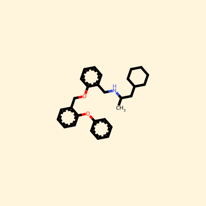 CC(CC1CCCCC1)NCc1ccccc1OCc1ccccc1Oc1ccccc1